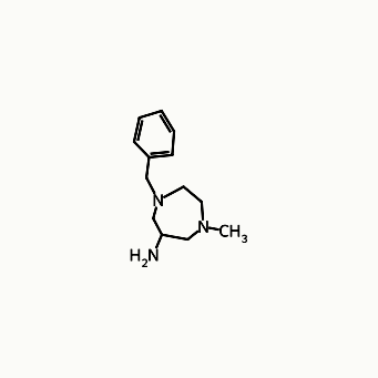 CN1CCN(Cc2ccccc2)CC(N)C1